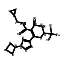 O=C(NSC1CC1)C1=C(c2ccn(C3CCC3)n2)CC(C(F)(F)F)NC1=O